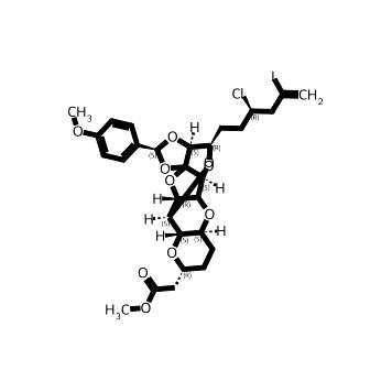 C=C(I)C[C@H](Cl)CC[C@]12O[C@H]3[C@H]4O[C@@H](CC(=O)OC)CC[C@@H]4OC4[C@H]3OC3(O[C@@H](c5ccc(OC)cc5)O[C@H]31)[C@H]4O2